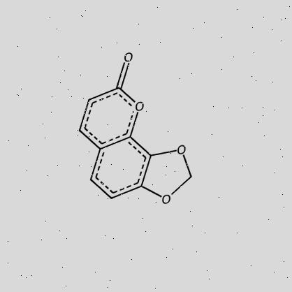 O=c1ccc2ccc3c(c2o1)OCO3